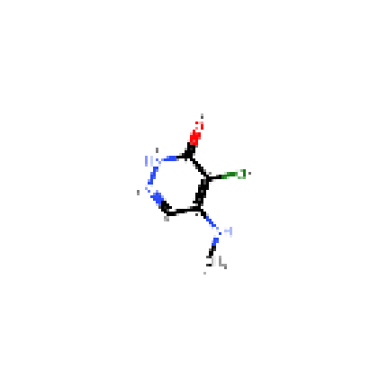 CNc1cn[nH]c(=O)c1Cl